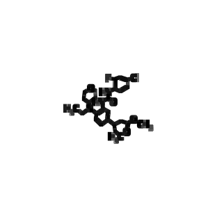 CCC(CC(=O)OC)c1ccc(N(CC)C2CCOCC2)c(NC(=O)Nc2ccc(Cl)cc2F)c1